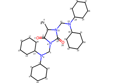 CC(C)C1C(=O)N(CN(C2CCCCC2)C2CCCCC2)C(=O)N1CN(C1CCCCC1)C1CCCCC1